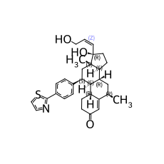 C[C@@H]1C[C@@H]2[C@H]([C@@H](c3ccc(-c4nccs4)cc3)C[C@@]3(C)[C@H]2CC[C@@]3(O)/C=C\CO)[C@H]2CCC(=O)C=C12